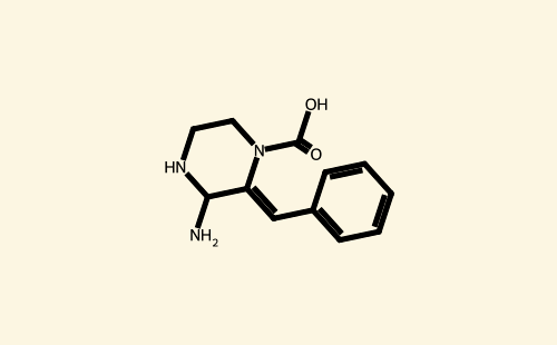 NC1NCCN(C(=O)O)/C1=C\c1ccccc1